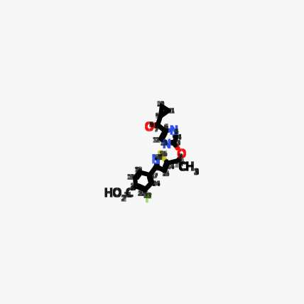 C[C@@H](Oc1cnc(C(=O)C2CC2)cn1)c1cc(-c2ccc(C(=O)O)c(F)c2)ns1